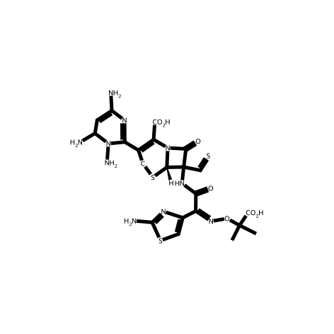 CC(C)(O/N=C(\C(=O)NC1(C=S)C(=O)N2C(C(=O)O)=C(C3=NC(N)=CC(N)N3N)CS[C@H]21)c1csc(N)n1)C(=O)O